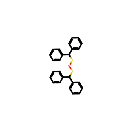 c1ccc(C(SOSC(c2ccccc2)c2ccccc2)c2ccccc2)cc1